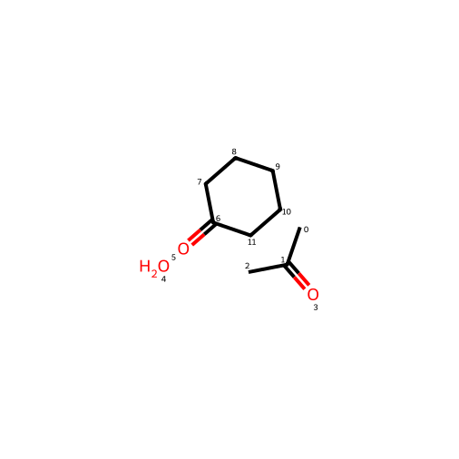 CC(C)=O.O.O=C1CCCCC1